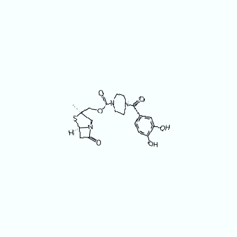 C[C@]1(COC(=O)N2CCN(C(=O)c3ccc(O)c(O)c3)CC2)CN2C(=O)C[C@H]2S1